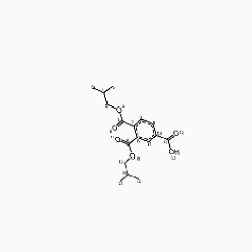 CC(C)COC(=O)c1ccc(C(=O)O)cc1C(=O)OCC(C)C